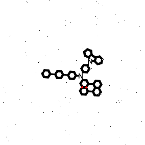 c1ccc(-c2ccc(-c3ccc(N(c4ccc(-n5c6ccccc6c6ccccc65)cc4)c4cccc(-c5cccc6cccc(-c7ccccc7)c56)c4)cc3)cc2)cc1